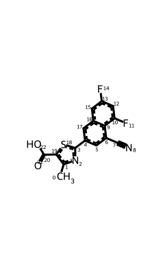 Cc1nc(-c2cc(C#N)c3c(F)cc(F)cc3c2)sc1C(=O)O